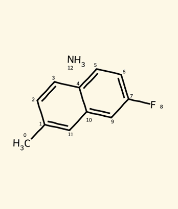 Cc1ccc2ccc(F)cc2c1.N